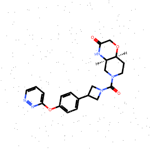 O=C1CO[C@H]2CCN(C(=O)N3CC(c4ccc(Oc5cccnn5)cc4)C3)C[C@H]2N1